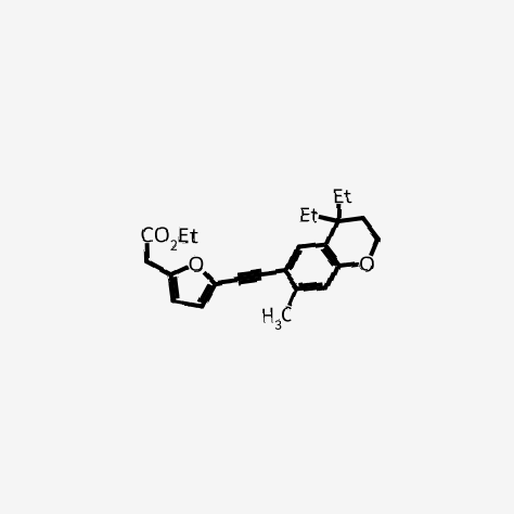 CCOC(=O)Cc1ccc(C#Cc2cc3c(cc2C)OCCC3(CC)CC)o1